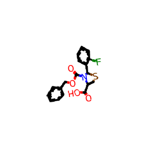 O=C(O)C1CSC(c2ccccc2F)N1C(=O)OCc1ccccc1